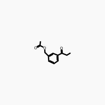 CCC(=O)c1cccc(COC(C)=O)c1